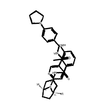 COc1cccc(C(=O)N[C@H]2C[C@H]3CC[C@@H](C2)N3c2ccc(C(=O)NCc3ccc(N4CCCC4)cc3)cn2)c1C